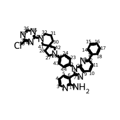 Nc1ncccc1-c1nc2ccc(-c3ccccc3)nc2n1-c1ccc(N2CCC3(CCCN(c4ncnc(Cl)n4)C3)C2)cc1